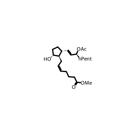 CCCCC[C@@H](/C=C/[C@H]1CC[C@@H](O)[C@@H]1C/C=C\CCCC(=O)OC)OC(C)=O